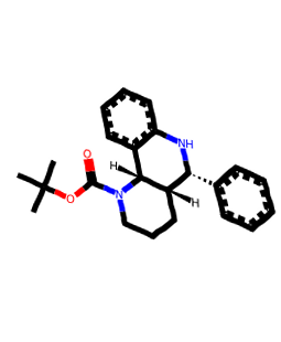 CC(C)(C)OC(=O)N1CCC[C@H]2[C@@H](c3ccccc3)Nc3ccccc3[C@H]21